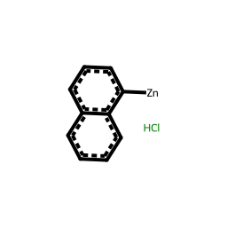 Cl.[Zn][c]1cccc2ccccc12